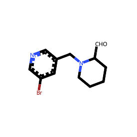 O=CC1CCCCN1Cc1cncc(Br)c1